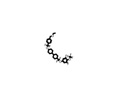 CCOCc1ccc(C(F)(F)OC2CCC(C3CCC(C(F)(F)Oc4cc(F)c(OC(F)(F)F)c(F)c4)CC3)CC2)cc1